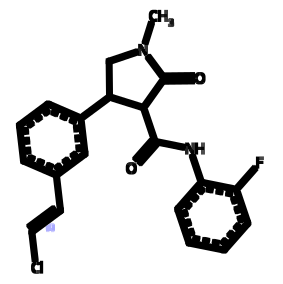 CN1CC(c2cccc(/C=C/Cl)c2)C(C(=O)Nc2ccccc2F)C1=O